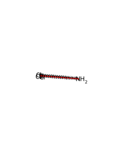 NCCCCCCCCCCCCCCCCCCCCCCCCCCCCCCCCCCC[Si](Cl)(Cl)Cl